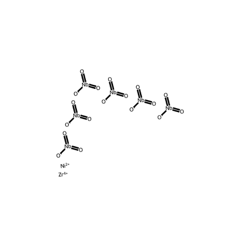 [Ni+2].[O]=[Nb](=[O])[O-].[O]=[Nb](=[O])[O-].[O]=[Nb](=[O])[O-].[O]=[Nb](=[O])[O-].[O]=[Nb](=[O])[O-].[O]=[Nb](=[O])[O-].[Zr+4]